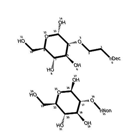 CCCCCCCCCCCCO[C@@H]1[C@@H](O)[C@H](O)[C@@H](CO)O[C@@H]1O.CCCCCCCCCO[C@@H]1[C@@H](O)[C@H](O)[C@@H](CO)O[C@H]1O